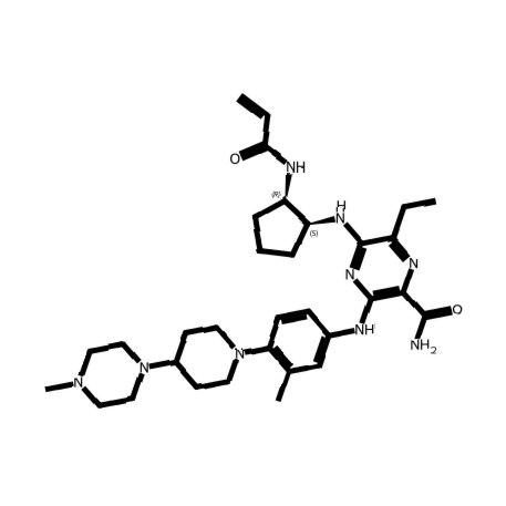 C=CC(=O)N[C@@H]1CCC[C@@H]1Nc1nc(Nc2ccc(N3CCC(N4CCN(C)CC4)CC3)c(C)c2)c(C(N)=O)nc1CC